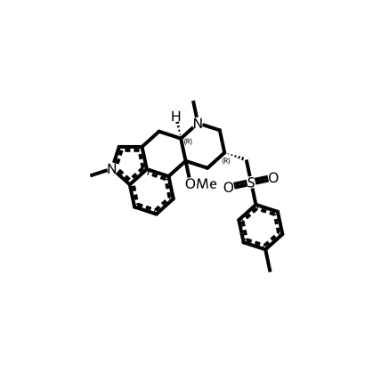 COC12C[C@@H](CS(=O)(=O)c3ccc(C)cc3)CN(C)[C@@H]1Cc1cn(C)c3cccc2c13